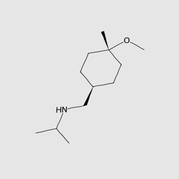 CO[C@]1(C)CC[C@@H](CNC(C)C)CC1